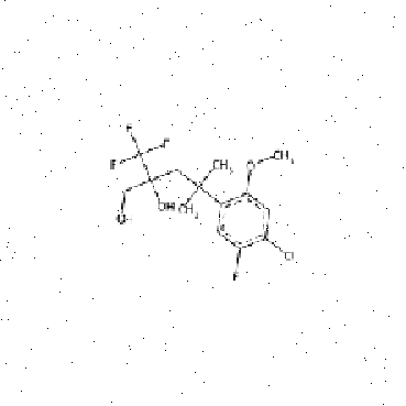 COc1cc(Cl)c(F)cc1C(C)(C)CC(O)(CO)C(F)(F)F